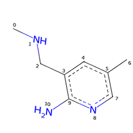 CNCc1cc(C)cnc1N